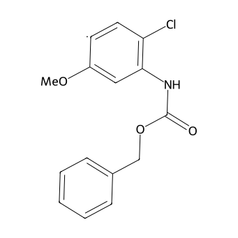 COc1[c]cc(Cl)c(NC(=O)OCc2ccccc2)c1